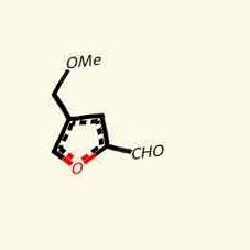 COCc1coc(C=O)c1